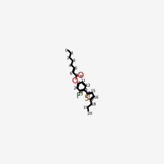 CCCCCC=CC(=O)Oc1ccc(-c2ccc(CCC)s2)c(F)c1